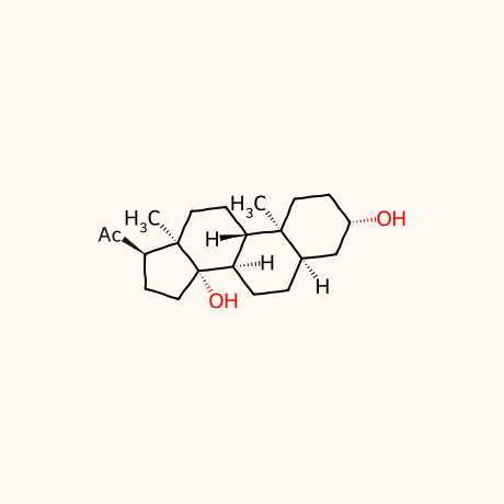 CC(=O)[C@@H]1CC[C@]2(O)[C@@H]3CC[C@@H]4C[C@@H](O)CC[C@]4(C)[C@H]3CC[C@]12C